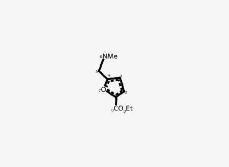 CCOC(=O)c1ccc(CNC)o1